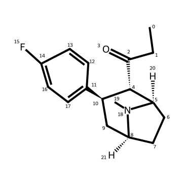 CCC(=O)[C@@H]1[C@H]2CC[C@@H](C[C@H]1c1ccc(F)cc1)N2C